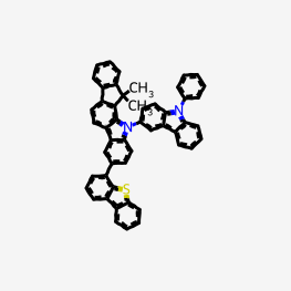 CC1(C)c2ccccc2-c2ccc3c4cc(-c5cccc6c5sc5ccccc56)ccc4n(-c4ccc5c(c4)c4ccccc4n5-c4ccccc4)c3c21